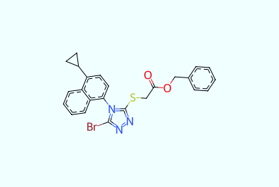 O=C(CSc1nnc(Br)n1-c1ccc(C2CC2)c2ccccc12)OCc1ccccc1